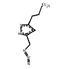 [N-]=[N+]=NCc1cc(CCC(=O)O)n[nH]1